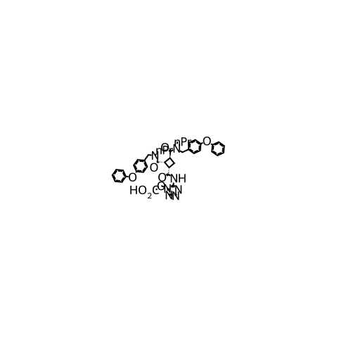 CCCN(Cc1ccc(Oc2ccccc2)cc1)C(=O)[C@H]1[C@@H](C(=O)Nc2nnnn2OC(=O)O)C[C@@H]1C(=O)N(CCC)Cc1ccc(Oc2ccccc2)cc1